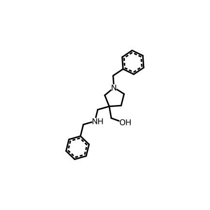 OCC1(CNCc2ccccc2)CCN(Cc2ccccc2)C1